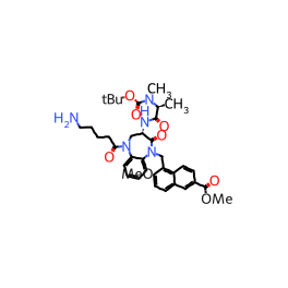 COC(=O)c1ccc2c(CN3C(=O)[C@@H](NC(=O)[C@H](C)N(C)C(=O)OC(C)(C)C)CN(C(=O)CCCCN)c4ccccc43)c(OC)ccc2c1